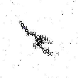 CC(=O)N[C@H]1[C@H](O[C@@H](OCCOCCn2cc(CNC(=O)c3ccc(/N=N/c4ccc(N(C)C)cc4)cc3)nn2)[C@@](C)(Br)C(=O)NCCNc2cccc3c(S(=O)(=O)O)cccc23)O[C@H](CO)[C@@H](O)[C@@H]1O